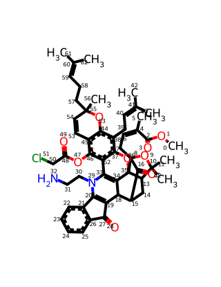 COC(=O)/C(C)=C\CC12OC(C)(C)C3CC(C1=O)C1C4=C(c5ccccc5C4=O)N(CCN)C4=C1C32Oc1c(CC=C(C)C)c2c(c(OC(=O)CCl)c14)C=CC(C)(CCC=C(C)C)O2